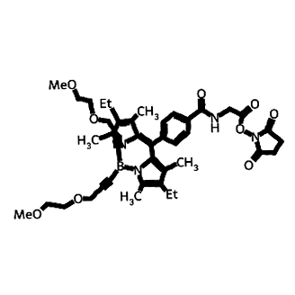 CCC1=C(C)/C(=C(\c2ccc(C(=O)NCC(=O)ON3C(=O)CCC3=O)cc2)c2c(C)c(CC)c(C)n2B(C#CCOCCOC)C#CCOCCOC)N=C1C